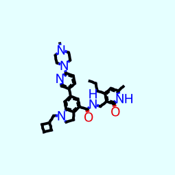 CCCc1cc(C)[nH]c(=O)c1CNC(=O)c1cc(-c2ccc(N3CCN(C)CC3)nc2)cc2c1CCN2CC1CCC1